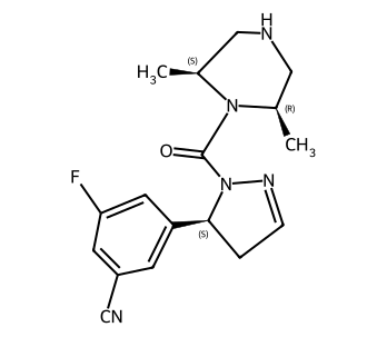 C[C@@H]1CNC[C@H](C)N1C(=O)N1N=CC[C@H]1c1cc(F)cc(C#N)c1